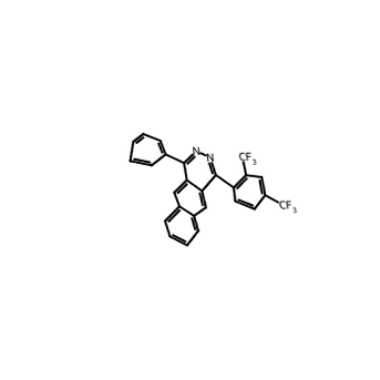 FC(F)(F)c1ccc(-c2nnc(-c3ccccc3)c3cc4ccccc4cc23)c(C(F)(F)F)c1